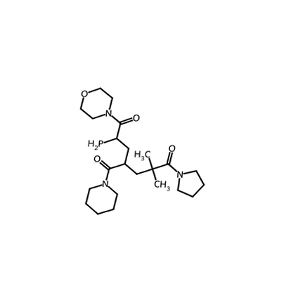 CC(C)(CC(CC(P)C(=O)N1CCOCC1)C(=O)N1CCCCC1)C(=O)N1CCCC1